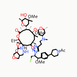 CC[C@H]1OC(=O)[C@H](C)C([C@H]2C[C@@](C)(OC)[C@@H](O)[C@H](C)O2)[C@H](C)[C@@H](O[C@H]2C[C@@H](N(C)CCc3cn([C@H](CF)[C@H](OC)c4ccc(C5CCN(C(C)=O)CC5)cc4)nn3)C[C@@H](C)O2)[C@](C)(OC)C[C@@H](C)C(=O)[C@H](C)[C@H]2N(NCC3CCOC3)C(=O)O[C@]12C